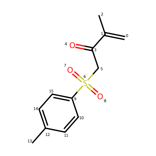 C=C(C)C(=O)CS(=O)(=O)c1ccc(C)cc1